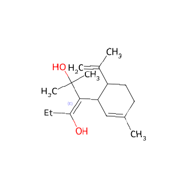 C=C(C)C1CCC(C)=CC1/C(=C(\O)CC)C(C)(C)O